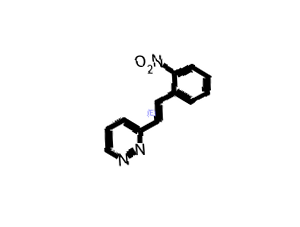 O=[N+]([O-])c1ccccc1/C=C/c1cccnn1